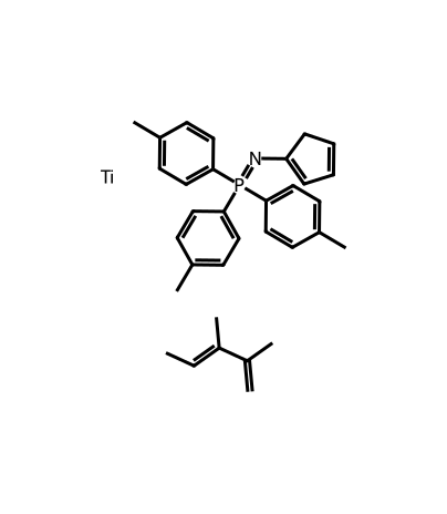 C=C(C)C(C)=CC.Cc1ccc(P(=NC2=CC=CC2)(c2ccc(C)cc2)c2ccc(C)cc2)cc1.[Ti]